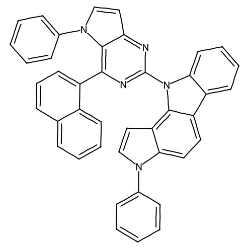 c1ccc(-n2ccc3c2ccc2c4ccccc4n(-c4nc(-c5cccc6ccccc56)c5c(ccn5-c5ccccc5)n4)c23)cc1